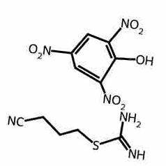 N#CCCCSC(=N)N.O=[N+]([O-])c1cc([N+](=O)[O-])c(O)c([N+](=O)[O-])c1